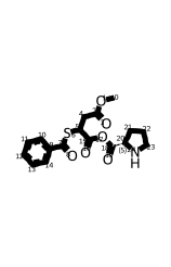 COC(=O)CC(SC(=O)c1ccccc1)C(=O)OC(=O)[C@@H]1CCCN1